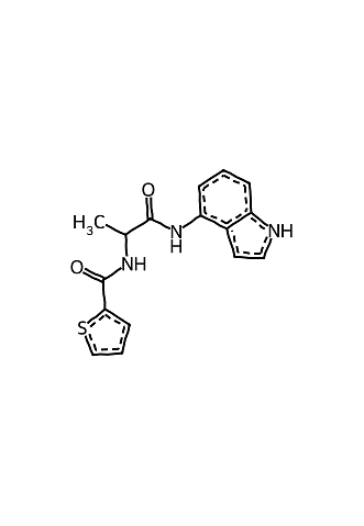 CC(NC(=O)c1cccs1)C(=O)Nc1cccc2[nH]ccc12